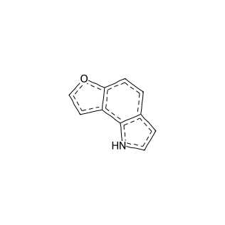 c1cc2ccc3occc3c2[nH]1